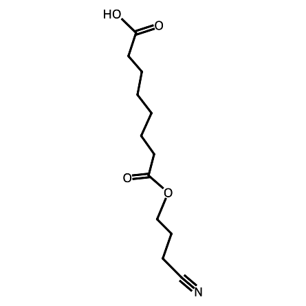 N#CCCCOC(=O)CCCCCCC(=O)O